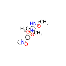 C=CC(=O)NC1CC(C)N(S(=O)(=O)c2ccc(C(=O)N3CCCCC3)cc2)C(C)C1